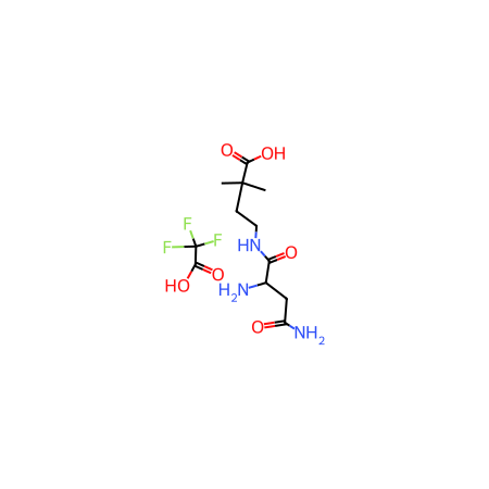 CC(C)(CCNC(=O)C(N)CC(N)=O)C(=O)O.O=C(O)C(F)(F)F